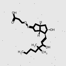 CCCCC(C)(C)C(O)C=C[C@H]1[C@@H]2C/C(=N/OCCC(=O)O)C[C@H]2C[C@@H]1O